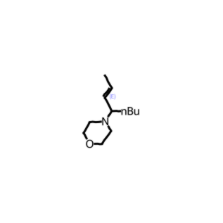 C/C=C/C(CCCC)N1CCOCC1